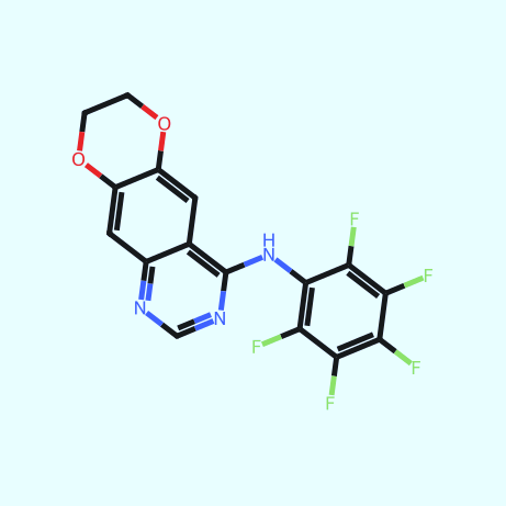 Fc1c(F)c(F)c(Nc2ncnc3cc4c(cc23)OCCO4)c(F)c1F